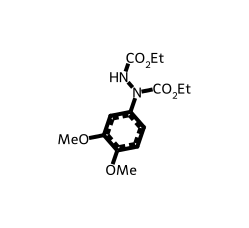 CCOC(=O)NN(C(=O)OCC)c1ccc(OC)c(OC)c1